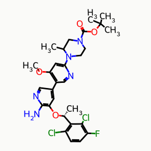 COc1cc(N2CCN(C(=O)OC(C)(C)C)CC2C)ncc1-c1cnc(N)c(O[C@H](C)c2c(Cl)ccc(F)c2Cl)c1